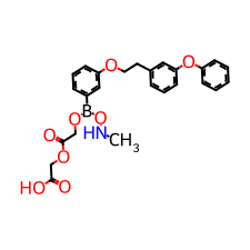 CNOB(OCC(=O)OCC(=O)O)c1cccc(OCCc2cccc(Oc3ccccc3)c2)c1